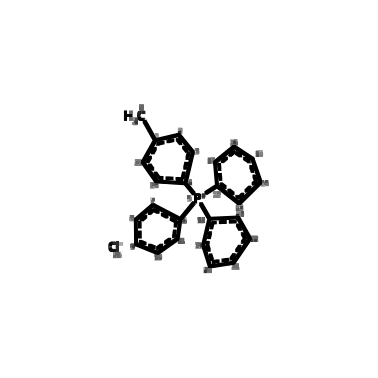 Cc1ccc([P+](c2ccccc2)(c2ccccc2)c2ccccc2)cc1.[Cl-]